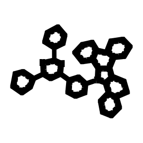 c1ccc(-c2cc(-c3cccc(-n4c5c6ccccc6ccc5c5c6ccccc6c6ccccc6c54)c3)nc(-c3ccccc3)n2)cc1